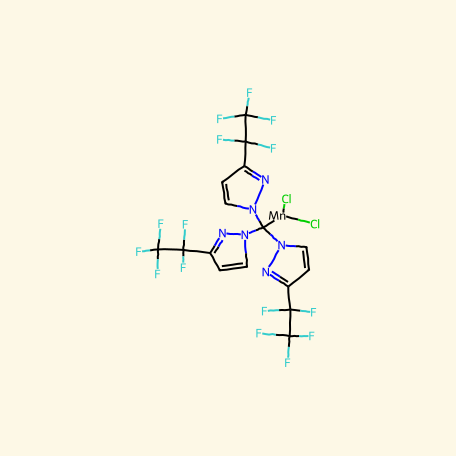 FC(F)(F)C(F)(F)c1ccn([C](n2ccc(C(F)(F)C(F)(F)F)n2)(n2ccc(C(F)(F)C(F)(F)F)n2)[Mn]([Cl])[Cl])n1